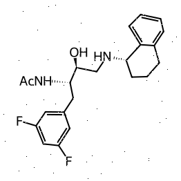 CC(=O)N[C@@H](Cc1cc(F)cc(F)c1)[C@@H](O)CN[C@H]1CCCc2ccccc21